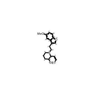 CC/C=C\C1C(CC)CCCN1CCc1coc2ccc(OC)cc12